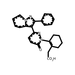 O=C(O)CC1=C(n2nc(-c3c(-c4ccccc4)nn4ccccc34)ccc2=O)CCCC1